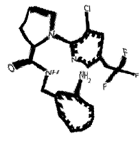 Nc1ccccc1CNC(=O)C1CC=CN1c1ncc(C(F)(F)F)cc1Cl